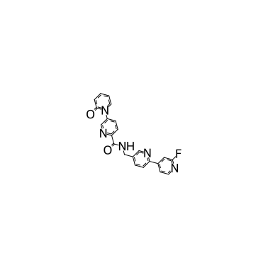 O=C(NCc1ccc(-c2ccnc(F)c2)nc1)c1ccc(-n2ccccc2=O)cn1